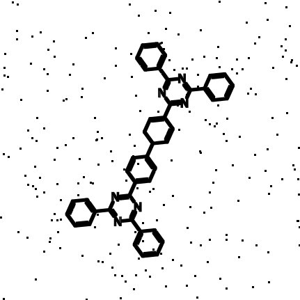 C1=CC(c2ccc(-c3nc(-c4ccccc4)nc(-c4ccccc4)n3)cc2)CC=C1c1nc(-c2ccccc2)nc(-c2ccccc2)n1